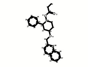 CCC(=O)ON1CCC(OCc2ccc3ccccc3n2)CC1c1ccccc1